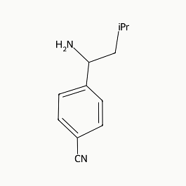 CC(C)CC(N)c1ccc(C#N)cc1